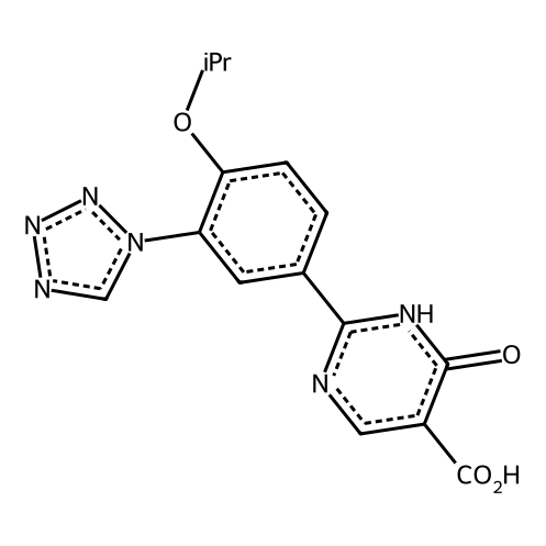 CC(C)Oc1ccc(-c2ncc(C(=O)O)c(=O)[nH]2)cc1-n1cnnn1